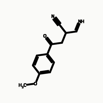 COc1ccc(C(=O)CC(C#N)C=N)cc1